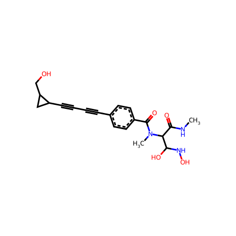 CNC(=O)C(C(O)NO)N(C)C(=O)c1ccc(C#CC#CC2CC2CO)cc1